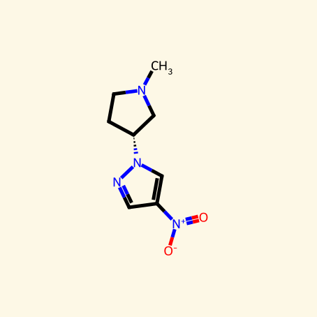 CN1CC[C@@H](n2cc([N+](=O)[O-])cn2)C1